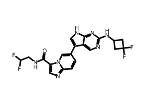 O=C(NCC(F)F)c1cnc2ccc(-c3c[nH]c4nc(NC5CC(F)(F)C5)ncc34)cn12